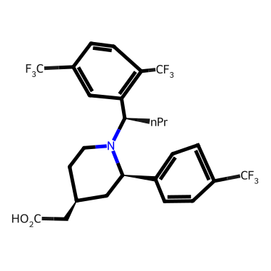 CCC[C@H](c1cc(C(F)(F)F)ccc1C(F)(F)F)N1CC[C@H](CC(=O)O)C[C@@H]1c1ccc(C(F)(F)F)cc1